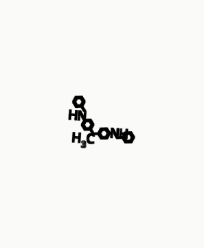 CC(c1ccc(NCc2ccccc2)cc1)c1ccc(NCc2ccccc2)cc1